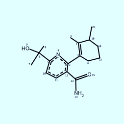 CC1=C(c2nc(C(C)(C)O)ccc2C(N)=O)CCCC1C